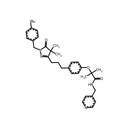 CC(C)(Oc1ccc(CCCC2=NN(Cc3ccc(C(C)(C)C)cc3)C(=O)C2(C)C)cc1)C(=O)NCc1ccncc1